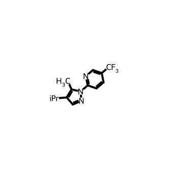 Cc1c(C(C)C)cnn1-c1ccc(C(F)(F)F)cn1